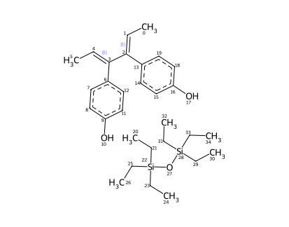 C/C=C(/C(=C/C)c1ccc(O)cc1)c1ccc(O)cc1.CC[Si](CC)(CC)O[Si](CC)(CC)CC